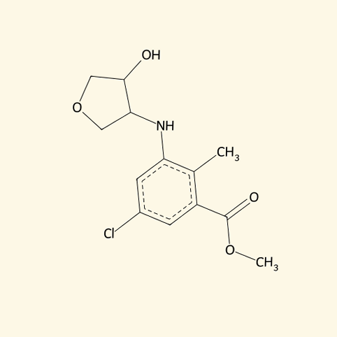 COC(=O)c1cc(Cl)cc(NC2COCC2O)c1C